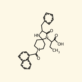 CCC(C(=O)O)N1C(=O)C(Cc2ccccc2)NC12CCN(C(=O)c1cccc3ccccc13)CC2